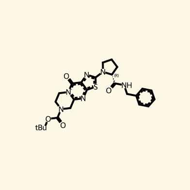 CC(C)(C)OC(=O)N1CCn2c(nc3sc(N4CCC[C@@H]4C(=O)NCc4ccccc4)nc3c2=O)C1